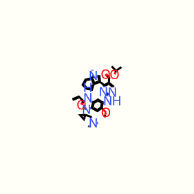 C=CC(=O)Nc1cc(Nc2ncc(C(=O)OC(C)C)c(-c3cn(C)c4ccccc34)n2)c(OC)cc1N(C)C1(CN(C)C)CC1